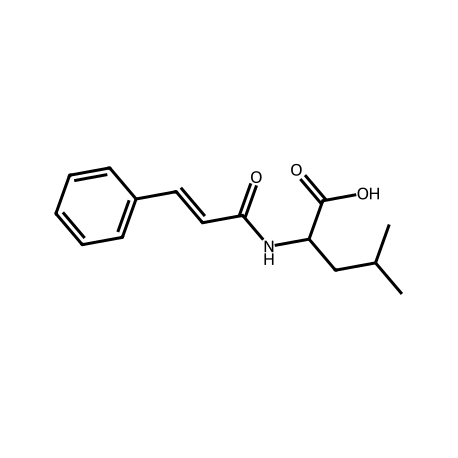 CC(C)CC(NC(=O)/C=C/c1ccccc1)C(=O)O